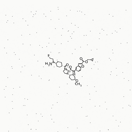 COC1CCC([C@@H]2CCN(C(=O)[C@H]3CC[C@H]([C@H](N)CCF)CC3)[C@@H]2C(=O)Nc2ccc3oc(C(=O)OCC4CC4)cc3c2)CC1